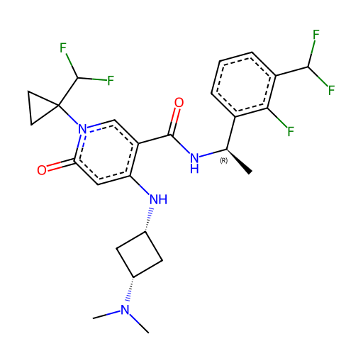 C[C@@H](NC(=O)c1cn(C2(C(F)F)CC2)c(=O)cc1N[C@H]1C[C@@H](N(C)C)C1)c1cccc(C(F)F)c1F